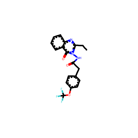 CCc1nc2ccccc2c(=O)n1NC(=O)Cc1ccc(OC(F)(F)F)cc1